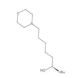 CCCC[C@@H](O)CCCCCN1CCSCC1